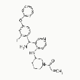 C=CC(=O)N1CCCC(Nc2ccncc2C(N)c2ccc(Oc3ccccc3)cc2F)C1